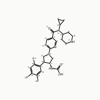 O=C(O)N[C@@H]1CN(c2ncc(C(=O)N(C3CCNCC3)C3CC3)cn2)CC1c1cc(F)c(F)cc1F